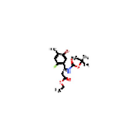 CCOC(=O)C[C@H](NC(=O)OC(C)(C)C)c1cc(Br)c(C)cc1F